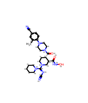 Cc1cc(C#N)ccc1N1CCN(C(=O)[C@H]2CCN(/C(=N/C#N)N3CCCCC3)C[C@@H]2C(=O)NO)CC1